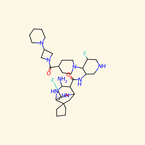 NC1N/C2=C/C(F)CNC(CC23CCCC3)C1C(=O)NC1CNCC(F)C1N1CCC(C(=O)N2CC(N3CCCCC3)C2)CC1